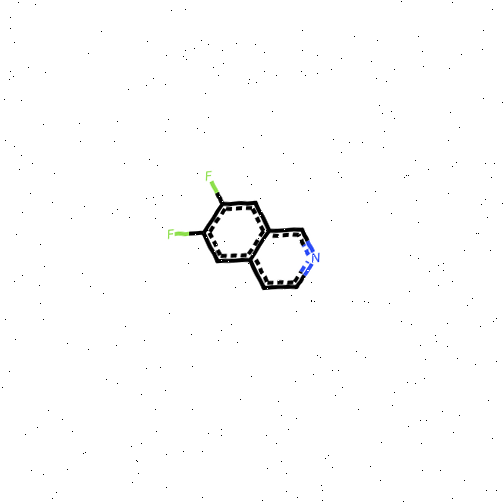 Fc1cc2ccncc2cc1F